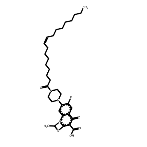 CCCCCCCC/C=C\CCCCCCCC(=O)N1CCN(c2cc3c(cc2F)c(=O)c(C(=O)O)c2n3C(C)S2)CC1